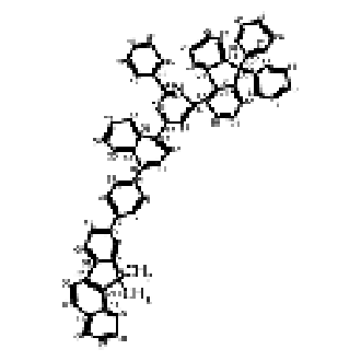 CC1(C)c2cc(-c3ccc(-c4ccc(-c5cc(-c6cccc7c6-c6ccccc6C7(c6ccccc6)c6ccccc6)nc(-c6ccccc6)n5)c5ccccc45)cc3)ccc2-c2ccc3ccccc3c21